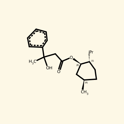 CC(C)[C@@H]1CC[C@@H](C)C[C@H]1OC(=O)CC(C)(O)c1ccccc1